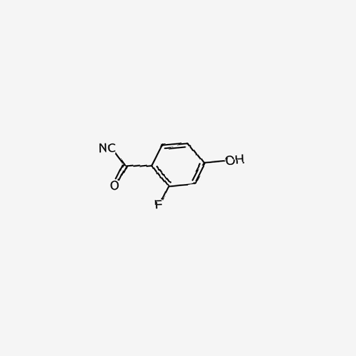 N#CC(=O)c1ccc(O)cc1F